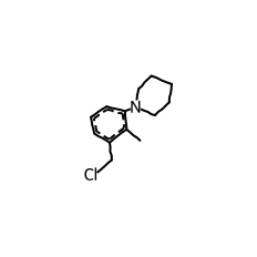 Cc1c(CCl)cccc1N1CCCCC1